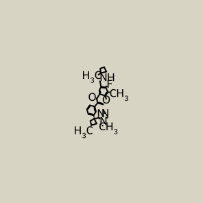 Cc1c(F)c(CNC2(C)CCC2)cc2c(=O)c(-c3cccc([C@]4(c5nncn5C)C[C@@H](C)C4)c3)coc12